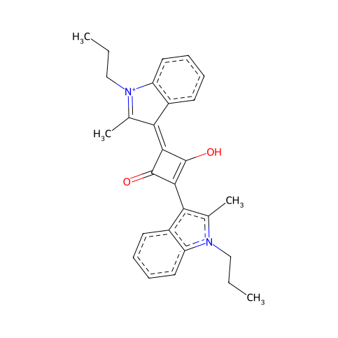 CCCn1c(C)c(C2=C(O)/C(=C3/C(C)=[N+](CCC)c4ccccc43)C2=O)c2ccccc21